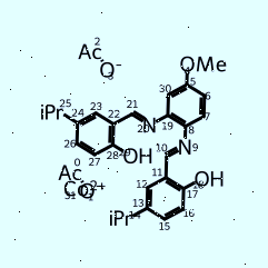 CC(=O)[O-].CC(=O)[O-].COc1ccc(N=Cc2cc(C(C)C)ccc2O)c(N=Cc2cc(C(C)C)ccc2O)c1.[Co+2]